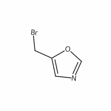 BrCc1cnco1